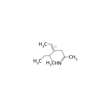 C/C=C(/CC(C)=N)C(C)CC